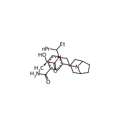 CCCC(CC)N(CCN1C2CCC1CC(c1cccc(C(N)=O)c1)C2)C(=O)[C@@H](C)O